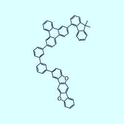 CC1(C)c2ccccc2-c2c(-c3ccc4c5ccc(-c6cccc(-c7cccc(-c8ccc9oc%10cc%11c(cc%10c9c8)oc8ccccc8%11)c7)c6)cc5c5ccccc5c4c3)cccc21